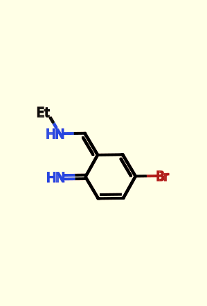 CCN/C=C1/C=C(Br)C=CC1=N